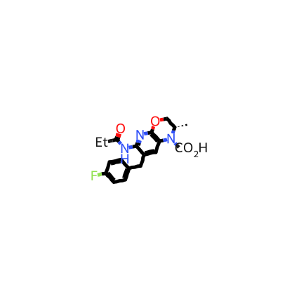 CCC(=O)Nc1nc2c(cc1Cc1ccc(F)cc1)N(C(=O)O)[C@@H](C)CO2